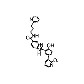 COc1ncccc1-c1ccc(O)c(-c2nc3cc(C(=O)NCCCc4ccccn4)ccc3[nH]2)c1